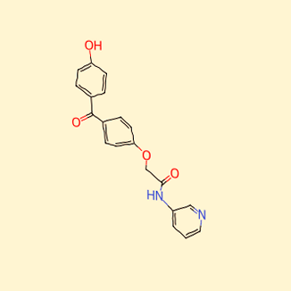 O=C(COc1ccc(C(=O)c2ccc(O)cc2)cc1)Nc1cccnc1